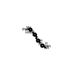 CC(C)NC(=N)c1ccc2nc(-c3ccc(CCc4ccc(-c5nc6ccc(C(=N)NC(C)C)cc6[nH]5)cc4)cc3)[nH]c2c1